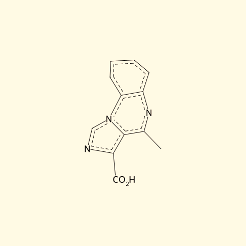 Cc1nc2ccccc2n2cnc(C(=O)O)c12